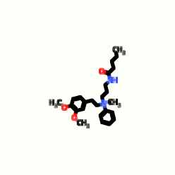 CCCCC(=O)NCCC[N+](C)(CCc1ccc(OC)c(OC)c1)c1ccccc1